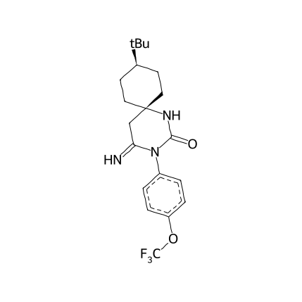 CC(C)(C)[C@H]1CC[C@]2(CC1)CC(=N)N(c1ccc(OC(F)(F)F)cc1)C(=O)N2